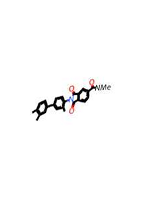 CNC(=O)c1ccc2c(c1)C(=O)N(c1ccc(-c3ccc(C)c(C)c3)cc1C)C2=O